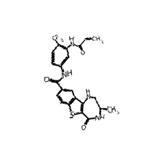 C=CC(=O)Nc1cc(NC(=O)c2ccc3sc4c(c3c2)NC[C@@H](C)NC4=O)ccc1C(F)(F)F